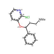 CNCCC(Oc1cccnc1Cl)c1ccccc1